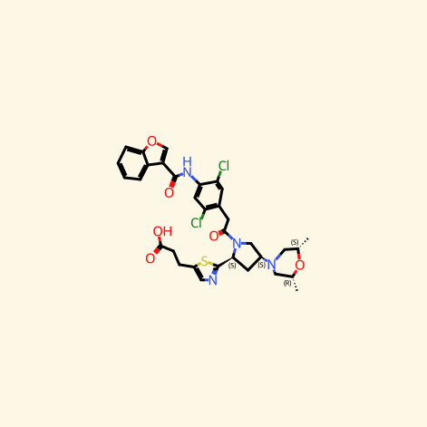 C[C@@H]1CN([C@H]2C[C@@H](c3ncc(CCC(=O)O)s3)N(C(=O)Cc3cc(Cl)c(NC(=O)c4coc5ccccc45)cc3Cl)C2)C[C@H](C)O1